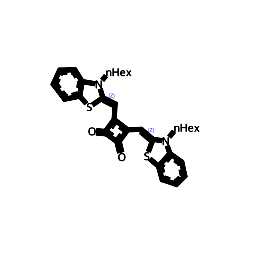 CCCCCCN1/C(=C/c2c(/C=C3\Sc4ccccc4N3CCCCCC)c(=O)c2=O)Sc2ccccc21